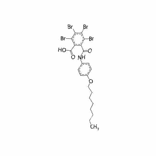 CCCCCCCCOc1ccc(NC(=O)c2c(Br)c(Br)c(Br)c(Br)c2C(=O)O)cc1